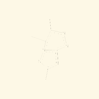 Cc1cc2nnc(C)c(C)n2n1